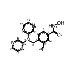 O=C(NO)c1ccc(CN(c2cnccn2)c2cnccn2)c(F)c1